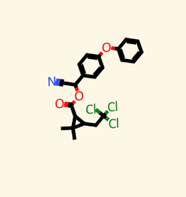 CC1(C)C(CC(Cl)(Cl)Cl)C1C(=O)OC(C#N)c1ccc(Oc2ccccc2)cc1